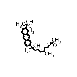 CC(=O)OCCC(C)CCCC(C)(C)c1ccc2cc3ccc(C(C)(C)C)cc3cc2c1